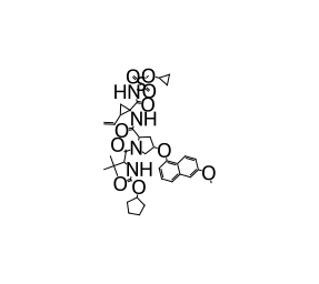 C=CC1C[C@]1(NC(=O)C1CC(Oc2cccc3cc(OC)ccc23)CN1C(=O)C(NC(=O)OC1CCCC1)C(C)(C)C)C(=O)NS(=O)(=O)OC1CC1